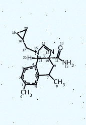 Cc1ccc2c(c1)C(C)C[C@@]1(C(N)=O)N=CN(CC3CC3)[C@@H]21